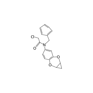 O=C(CCl)N(Cc1ccccc1)c1ccc2c(c1)OC1CC1O2